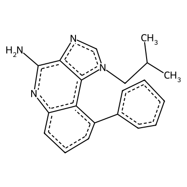 CC(C)Cn1cnc2c(N)nc3cccc(-c4ccccc4)c3c21